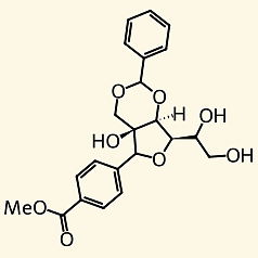 COC(=O)c1ccc(C2O[C@H](C(O)CO)[C@@H]3OC(c4ccccc4)OC[C@@]23O)cc1